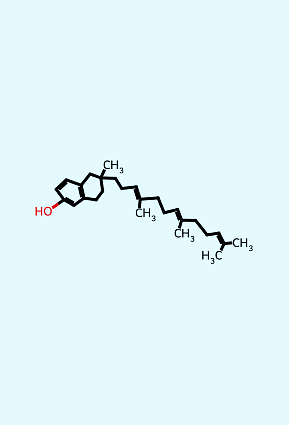 CC(C)=CCC/C(C)=C/CC/C(C)=C/CCC1(C)CCc2cc(O)ccc2C1